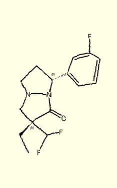 CC[C@@]1(C(F)F)CN2CC[C@H](c3cccc(F)c3)N2C1=O